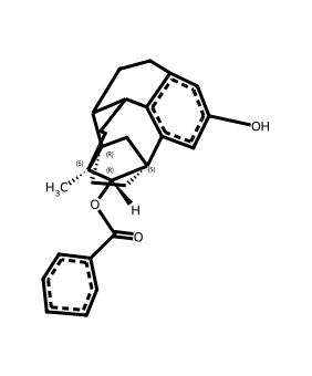 C[C@]12CCC3c4c5cc(O)cc4[C@@]4(CC[C@@]1(C4)C3CC5)[C@@H]2OC(=O)c1ccccc1